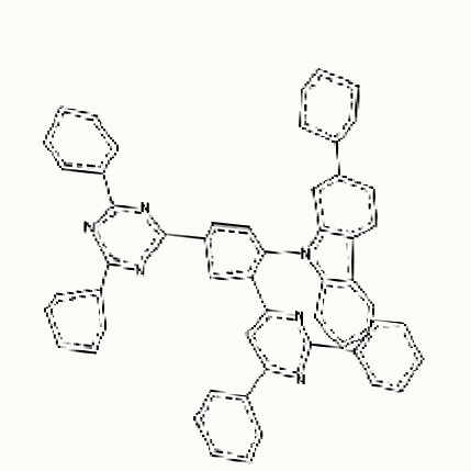 c1ccc(-c2ccc3c4ccccc4n(-c4ccc(-c5nc(-c6ccccc6)nc(-c6ccccc6)n5)cc4-c4cc(-c5ccccc5)nc(-c5ccccc5)n4)c3c2)cc1